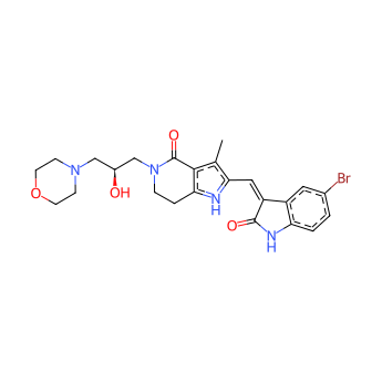 Cc1c(C=C2C(=O)Nc3ccc(Br)cc32)[nH]c2c1C(=O)N(C[C@@H](O)CN1CCOCC1)CC2